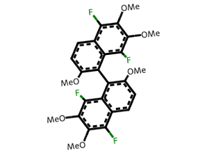 COc1ccc2c(F)c(OC)c(OC)c(F)c2c1-c1c(OC)ccc2c(F)c(OC)c(OC)c(F)c12